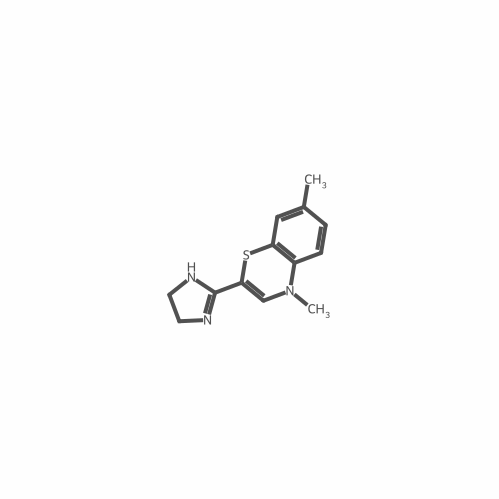 Cc1ccc2c(c1)SC(C1=NCCN1)=CN2C